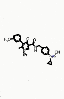 Cc1c(-c2cccc(C(F)(F)F)c2)c(=O)c(C(=O)NCc2ccc(/S(=N\C#N)C3CC3)cc2)cn1C(C)C